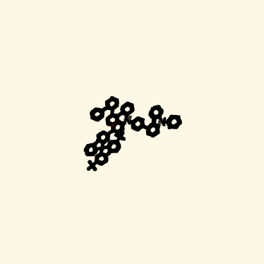 CC(C)(C)c1ccc2c(c1)C1(c3ccccc3-c3ccc(-c4ccc(N(c5ccc(-c6cccc7c6c6ccccc6n7-c6ccccc6)cc5)c5ccccc5-c5ccccc5-c5ccccc5-c5ccccc5)cc4)cc31)c1cc(C(C)(C)C)ccc1-2